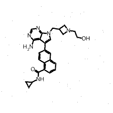 Nc1ncnc2c1c(-c1ccc3c(C(=O)NC4CC4)cccc3c1)cn2CC1CN(CCO)C1